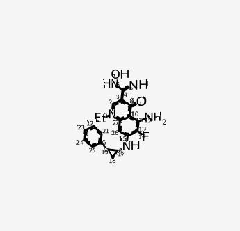 CCn1cc(C(=N)NO)c(=O)c2c(N)c(F)c(N[C@@H]3C[C@H]3c3ccccc3)cc21